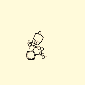 O=[N+]([O-])c1ccccc1S(=O)(=O)N1C2COCC1C(F)(F)C2